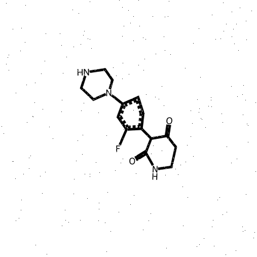 O=C1CCNC(=O)C1c1ccc(N2CCNCC2)cc1F